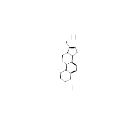 C[C@]12C(=CC=C3C1CC[C@]1(C)C(CS)=CCC31)C[C@@H](O)C[C@@H]2O